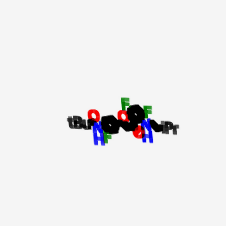 CC(C)CCNc1c(F)cc(F)c2oc(-c3ccc(NC(=O)C(C)(C)C)c(F)c3)cc(=O)c12